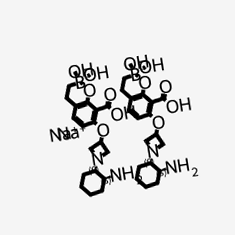 N[C@H]1CCCC[C@@H]1N1CC(Oc2ccc3c(c2C(=O)O)O[B-](O)(O)CC3)C1.N[C@H]1CCCC[C@@H]1N1CC(Oc2ccc3c(c2C(=O)O)O[B-](O)(O)CC3)C1.[Na+].[Na+]